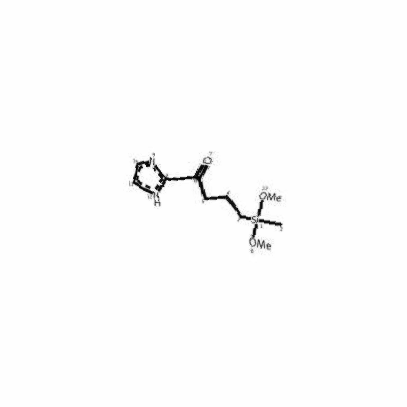 CO[Si](C)(CCCC(=O)c1ncc[nH]1)OC